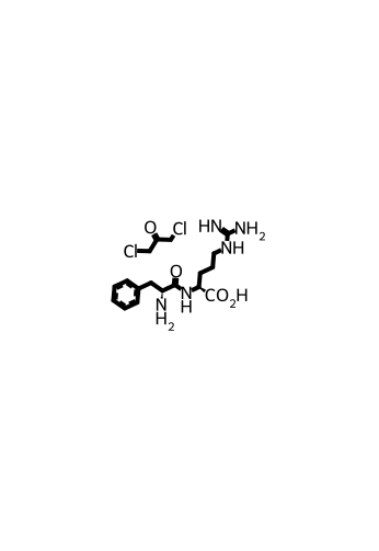 N=C(N)NCCC[C@H](NC(=O)[C@H](N)Cc1ccccc1)C(=O)O.O=C(CCl)CCl